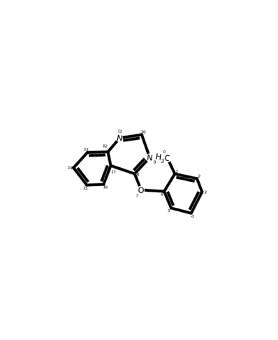 Cc1ccccc1Oc1ncnc2ccccc12